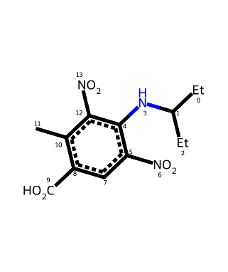 CCC(CC)Nc1c([N+](=O)[O-])cc(C(=O)O)c(C)c1[N+](=O)[O-]